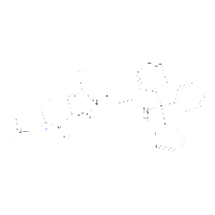 CN(C)/C=C1\CCc2c(nn(CCCNC(c3ccccc3)(c3ccccc3)c3ccccc3)c2C(=O)O)C1=O